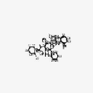 C[C@H](NC(=O)[C@H](CC(=O)N1CCCC[C@@H]1C)NC(=O)N1CCCCC1)c1nc2c(F)cccc2[nH]1